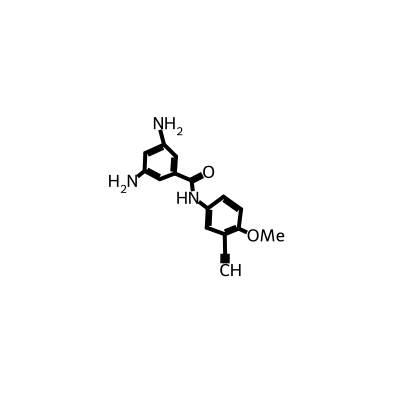 C#Cc1cc(NC(=O)c2cc(N)cc(N)c2)ccc1OC